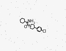 N[C@@H](C(=O)N1CCC(c2ccc(Cl)cc2)CC1)C1CCCCC1